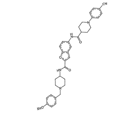 COc1ccc(CN2CCC(NC(=O)c3cc4cc(NC(=O)C5CCN(c6ccc(C#N)cc6)CC5)ccc4o3)CC2)cc1